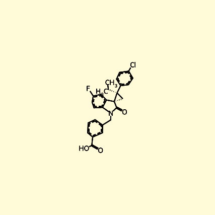 CC(C)[C@]1(c2ccc(Cl)cc2)C[C@@]12C(=O)N(Cc1cccc(C(=O)O)c1)c1ccc(F)cc12